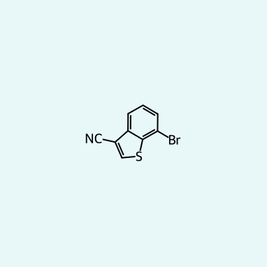 N#Cc1csc2c(Br)cccc12